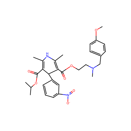 COc1ccc(CN(C)CCOC(=O)C2=C(C)NC(C)=C(C(=O)OC(C)C)C2c2cccc([N+](=O)[O-])c2)cc1